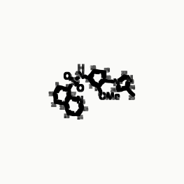 COc1cc(NS(=O)(=O)c2cccc3cccnc23)ccc1-n1cnc(C)c1